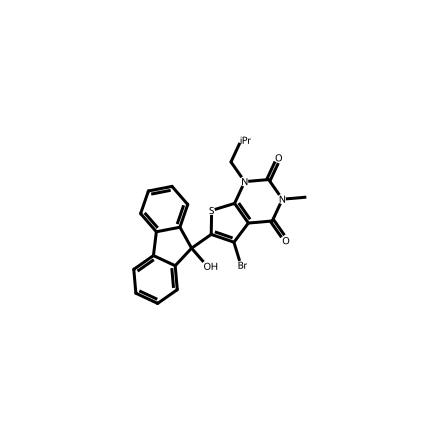 CC(C)Cn1c(=O)n(C)c(=O)c2c(Br)c(C3(O)c4ccccc4-c4ccccc43)sc21